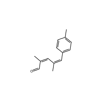 CC(C=O)=CC(C)=Cc1ccc(C)cc1